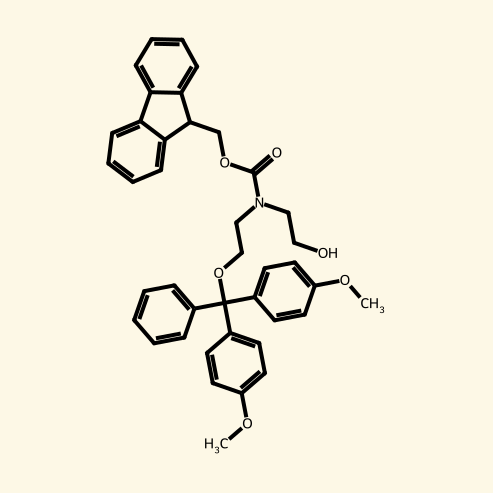 COc1ccc(C(OCCN(CCO)C(=O)OCC2c3ccccc3-c3ccccc32)(c2ccccc2)c2ccc(OC)cc2)cc1